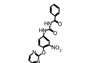 O=C(NC(=O)c1ccccc1)Nc1ccc(Oc2ncccn2)c([N+](=O)[O-])c1